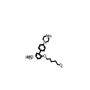 COCCCCCOc1ccccc1-c1ccc(N2CCNCC2)cc1.Cl.Cl